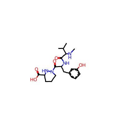 CNC(C(=O)NC(Cc1cccc(O)c1)C(=O)N1CCCC(C(=O)O)N1)C(C)C